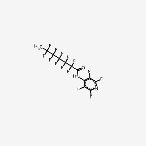 CC(F)(F)C(F)(F)C(F)(F)C(F)(F)C(F)(F)C(=O)Nc1c(F)c(F)nc(F)c1F